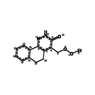 CCOOCc1c2c(n[nH]c1=O)-c1ccccc1CC2